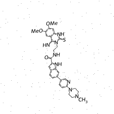 COc1cc2[nH]c(=S)n(CCNC(=O)c3cc4ccc(-c5ccc(N6CCN(C)CC6)nc5)cc4[nH]3)c(=N)c2cc1OC